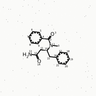 CN(C(=O)c1ccccc1)[C@H](CC(N)=O)Cc1ccccc1